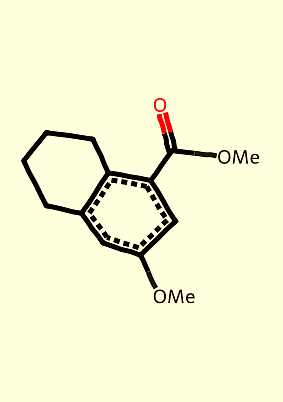 COC(=O)c1cc(OC)cc2c1CCCC2